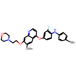 COc1cc2c(Oc3ccc(Nc4ccc(C(C)(C)C)cc4)c(F)c3)ccnc2cc1OCCN1CCOCC1